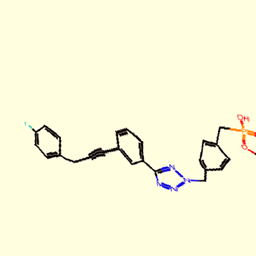 CCOP(=O)(O)Cc1ccc(Cn2nnc(-c3cccc(C#CCc4ccc(F)cc4)c3)n2)cc1